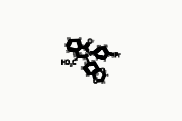 CC(C)c1ccc(N2C(=O)c3ccccc3[C@@H](C(=O)O)[C@@H]2c2ccc3c(c2)OCCO3)cc1